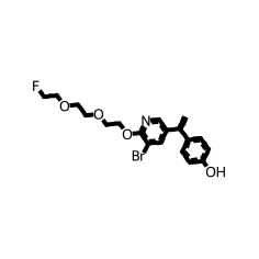 C=C(c1ccc(O)cc1)c1cnc(OCCOCCOCCF)c(Br)c1